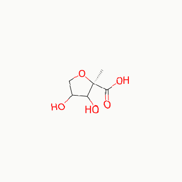 C[C@@]1(C(=O)O)OCC(O)C1O